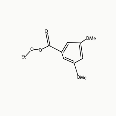 [CH2]COOC(=O)c1cc(OC)cc(OC)c1